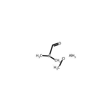 CCl.CN(C)C=O.[AlH3]